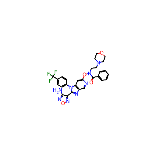 Nc1nonc1-c1nc2cnc(ON(CCN3CCOCC3)C(=O)c3ccccc3)cc2n1-c1ccc(C(F)(F)F)cc1